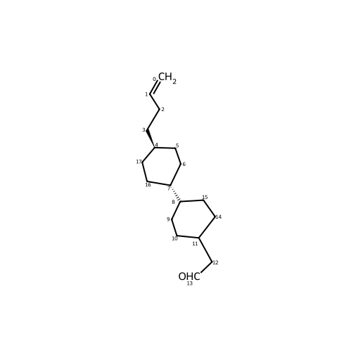 C=CCC[C@H]1CC[C@H](C2CCC(CC=O)CC2)CC1